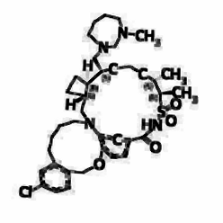 C[C@@H]1[C@@H](C)CCC[C@H](CN2CCCCN(C)C2)[C@@H]2CC[C@H]2CN2CCCCc3cc(Cl)ccc3COc3ccc(cc32)C(=O)NS1(=O)=O